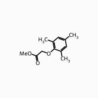 COC(=O)COc1c(C)cc(C)cc1C